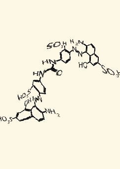 Nc1ccc2cc(S(=O)(=O)O)cc(O)c2c1N=Nc1ccc(NC(=O)Nc2ccc(N=Nc3c(N)ccc4cc(S(=O)(=O)O)cc(O)c34)c(S(=O)(=O)O)c2)cc1S(=O)(=O)O